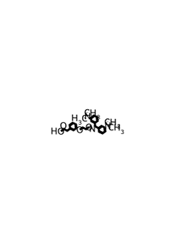 CN(C)c1cccc(C(=NOCCOc2cccc(CC(=O)O)c2)c2cccc(N(C)C)c2)c1